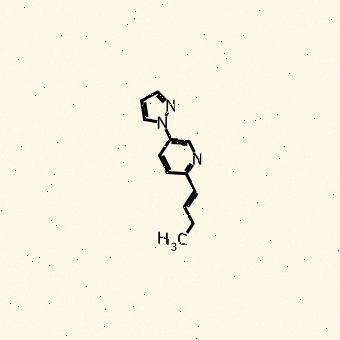 CC/C=C/c1ccc(-n2cccn2)cn1